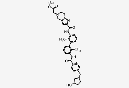 Cc1c(NC(=O)c2ccc(CN3CC[C@@H](O)C3)cn2)cccc1-c1cccc(NC(=O)c2cc3n(n2)CCN(CC(=O)OC(C)(C)C)C3)c1C